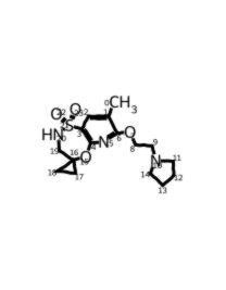 Cc1cc2c(nc1OCCN1CCCC1)OC1(CC1)CNS2(=O)=O